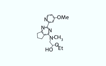 CCOC(O)CN(C)c1nc(-c2cc(OC)ccn2)nc2c1CCC2